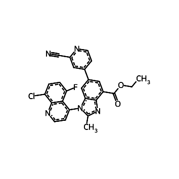 CCOC(=O)c1cc(-c2ccnc(C#N)c2)cc2c1nc(C)n2-c1ccnc2c(Cl)ccc(F)c12